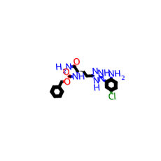 NC(=O)[C@H](CCC1=NNN(c2cc(Cl)ccc2N)N1)NC(=O)OCc1ccccc1